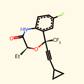 CC[C@@H]1O[C@](C#CC2CC2)(C(F)(F)F)c2cc(F)ccc2NC1=O